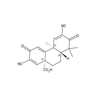 [C-]#[N+]C1=C[C@]2(C)C3=CC(=O)C(C#N)=C[C@]3(C(=O)O)CC[C@H]2C(C)(C)C1=O